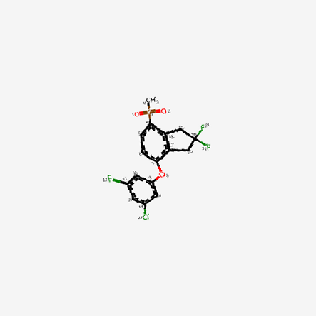 CS(=O)(=O)c1ccc(Oc2cc(F)cc(Cl)c2)c2c1CC(F)(F)C2